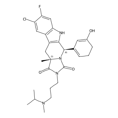 CC(C)N(C)CCCN1C(=O)N2[C@H](C3=CCCC(O)=C3)c3[nH]c4cc(F)c(Cl)cc4c3C[C@@]2(C)C1=O